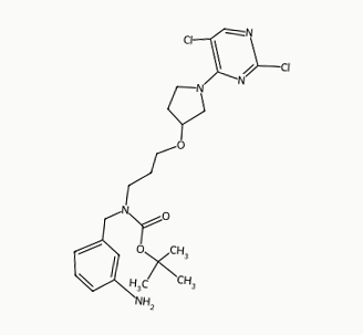 CC(C)(C)OC(=O)N(CCCOC1CCN(c2nc(Cl)ncc2Cl)C1)Cc1cccc(N)c1